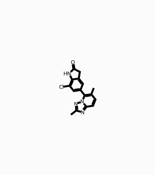 Cc1nc2ccc(C)c(-c3cc(Cl)c4c(c3)CC(=O)N4)n2n1